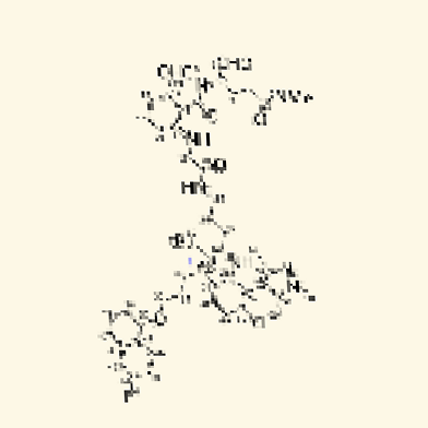 CNC(=O)CCC(C=O)N(C=O)C(=O)c1c(C)cccc1NCC(=O)NCCCCNc1c(/C(=C/C(C)(C)C)CCCOc2cccc3cc(F)ccc23)ccc(Cl)c1-c1c(C)nn(C)c1C